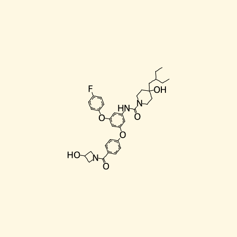 CCC(CC)CC1(O)CCN(C(=O)Nc2cc(Oc3ccc(F)cc3)cc(Oc3ccc(C(=O)N4CC(O)C4)cc3)c2)CC1